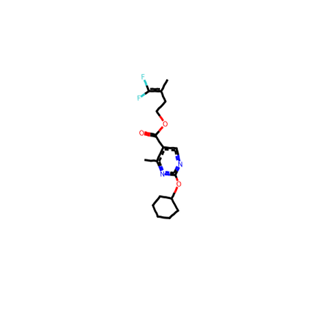 CC(CCOC(=O)c1cnc(OC2CCCCC2)nc1C)=C(F)F